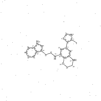 Cc1ncsc1-c1nc2c(c(NCCc3c[nH]c4ccccc34)n1)OCCN2